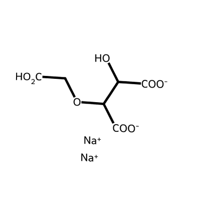 O=C(O)COC(C(=O)[O-])C(O)C(=O)[O-].[Na+].[Na+]